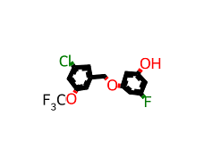 Oc1cc(F)cc(OCc2cc(Cl)cc(OC(F)(F)F)c2)c1